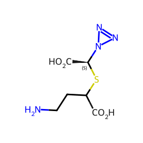 NCCC(S[C@@H](C(=O)O)N1N=N1)C(=O)O